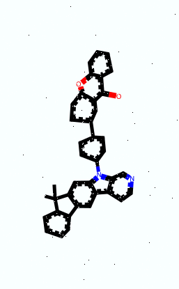 CC1(C)c2ccccc2-c2cc3c4ccncc4n(-c4ccc(-c5ccc6oc7ccccc7c(=O)c6c5)cc4)c3cc21